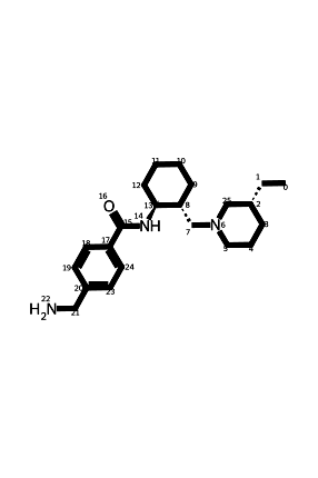 CC[C@@H]1CCCN(C[C@H]2CCCC[C@@H]2NC(=O)c2ccc(CN)cc2)C1